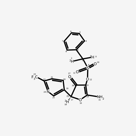 [2H]C([2H])(c1ccccc1)S(=O)(=O)OC1=C(N)O[C@@]([2H])(c2ccc(C(F)(F)F)nc2)C1=O